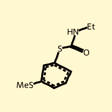 CCNC(=O)Sc1cccc(SC)c1